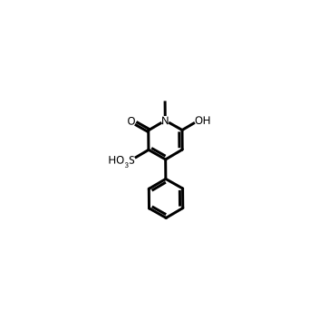 Cn1c(O)cc(-c2ccccc2)c(S(=O)(=O)O)c1=O